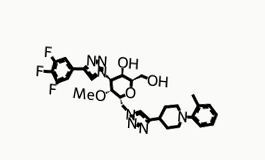 CO[C@@H]1[C@@H](n2cc(-c3cc(F)c(F)c(F)c3)nn2)[C@@H](O)[C@@H](CO)O[C@@H]1Cn1cc(C2CCN(c3ccccc3C)CC2)nn1